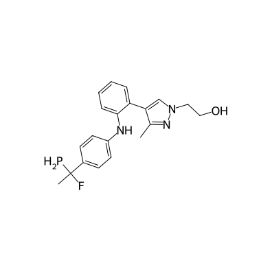 Cc1nn(CCO)cc1-c1ccccc1Nc1ccc(C(C)(F)P)cc1